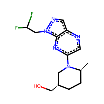 C[C@@H]1CC[C@H](CO)CN1c1cnc2cnn(CC(F)F)c2n1